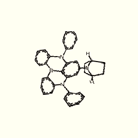 c1ccc(N2c3ccccc3B3c4ccccc4N(c4ccccc4)c4cc(N5[C@H]6CC[C@@H]5CC6)cc2c43)cc1